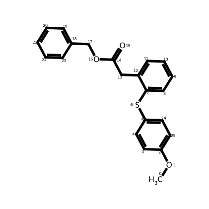 COc1ccc(Sc2ccccc2CC(=O)OCc2ccccc2)cc1